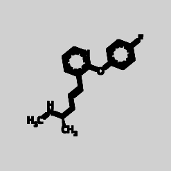 CN[C@@H](C)C/C=C/c1cccnc1Oc1ccc(F)cc1